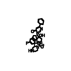 CC1([C@@H]2CNCCN2C(=O)N2CC[C@@](O)(Cn3cnc(-c4ccccc4)cc3=O)C3(CCCC3)C2)C=C(F)C=CC1